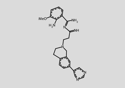 COc1cccc(/C(N)=N/C(=N)CCN2CCc3ccc(-c4cncnc4)cc3C2)c1N